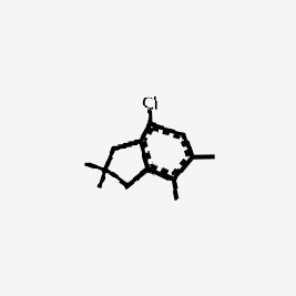 Cc1cc(Cl)c2c(c1C)CC(C)(C)C2